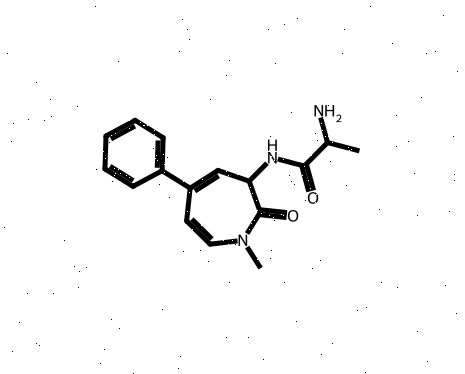 CC(N)C(=O)NC1C=C(c2ccccc2)C=CN(C)C1=O